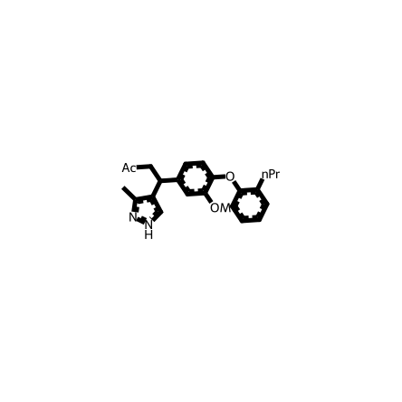 CCCc1ccccc1Oc1ccc(C(CC(C)=O)c2c[nH]nc2C)cc1OC